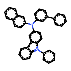 c1ccc(-c2cccc(N(c3ccc4ccccc4c3)c3ccc4c(c3)c3ccccc3n4-c3ccccc3)c2)cc1